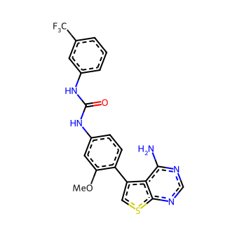 COc1cc(NC(=O)Nc2cccc(C(F)(F)F)c2)ccc1-c1csc2ncnc(N)c12